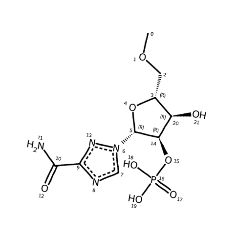 COC[C@H]1O[C@@H](n2cnc(C(N)=O)n2)[C@H](OP(=O)(O)O)[C@@H]1O